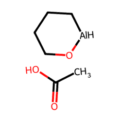 C1C[CH2][AlH][O]C1.CC(=O)O